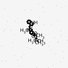 CN(CC[N+](C)(C)C)S(=O)(=O)c1ccc2c(c1)sc(/C=C1\C=CNc3ccccc31)[n+]2C